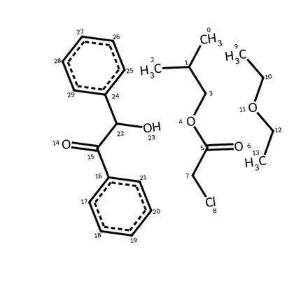 CC(C)COC(=O)CCl.CCOCC.O=C(c1ccccc1)C(O)c1ccccc1